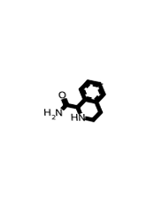 NC(=O)C1NCCc2c[c]ccc21